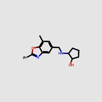 Cc1cc(CNC2CCCC2O)cc2nc(C(C)C)oc12